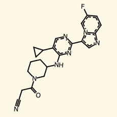 N#CCC(=O)N1CCCC(Nc2nc(-c3cnc4ccc(F)cn34)ncc2C2CC2)C1